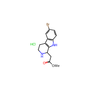 COC(=O)CC1NCCc2c1[nH]c1ccc(Br)cc21.Cl